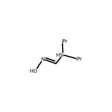 CC(C)[SiH](C=NO)C(C)C